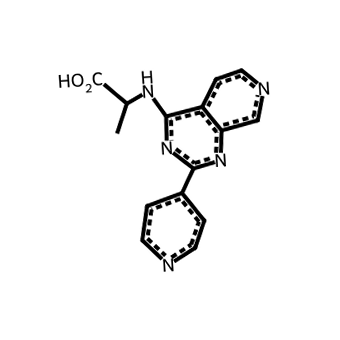 CC(Nc1nc(-c2ccncc2)nc2cnccc12)C(=O)O